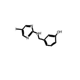 Oc1cccc(CNc2ncc(I)cn2)c1